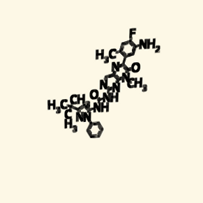 Cc1cc(F)c(N)cc1-c1nc2cnc(NC(=O)Nc3cc(C(C)(C)C)nn3-c3ccccc3)nc2n(C)c1=O